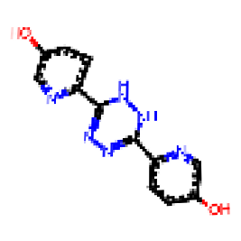 Oc1ccc(C2=NN=C(c3ccc(O)cn3)NN2)nc1